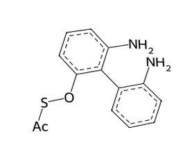 CC(=O)SOc1cccc(N)c1-c1ccccc1N